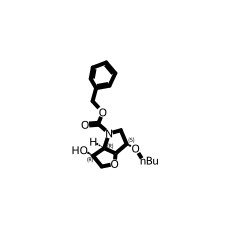 CCCCO[C@H]1CN(C(=O)OCc2ccccc2)[C@H]2C1OC[C@@H]2O